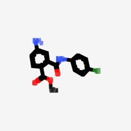 CC(C)(C)OC(=O)c1ccc(N)cc1C(=O)Nc1ccc(Cl)cc1